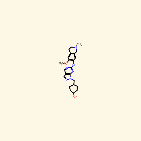 COc1cc2c(cc1Nc1ncc3cnn(CC4CCC(O)CC4)c3n1)CN(C)CC2